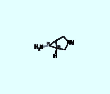 N[C@@H]1C2CNC[C@@H]21